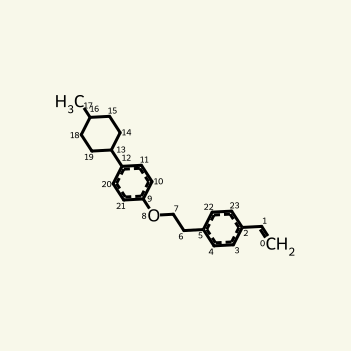 C=Cc1ccc(CCOc2ccc(C3CCC(C)CC3)cc2)cc1